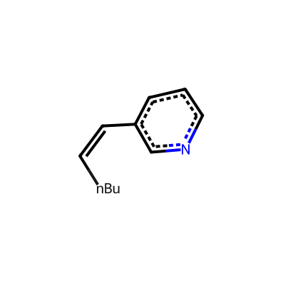 CCCC/C=C\c1cccnc1